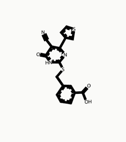 N#Cc1c(-c2ccsc2)nc(SCc2cccc(C(=O)O)c2)[nH]c1=O